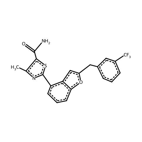 Cc1nc(-c2cccc3oc(Cc4cccc(C(F)(F)F)c4)cc23)sc1C(N)=O